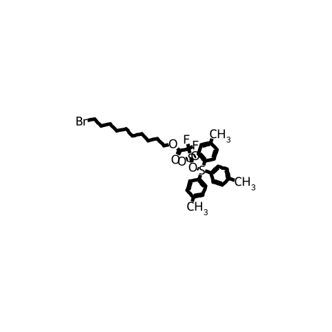 Cc1ccc(S(OS(=O)(=O)C(F)(F)C(=O)OCCCCCCCCCCBr)(c2ccc(C)cc2)c2ccc(C)cc2)cc1